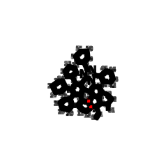 C=Cc1ccc2c(-c3c(-c4ccccc4)c(-c4ccccc4)c(-c4ccccc4)c(-c4ccccc4)c3-c3nc(-c4ccccc4)nc(-c4ccccc4)n3)ccc3c2c1C(C)C=C3